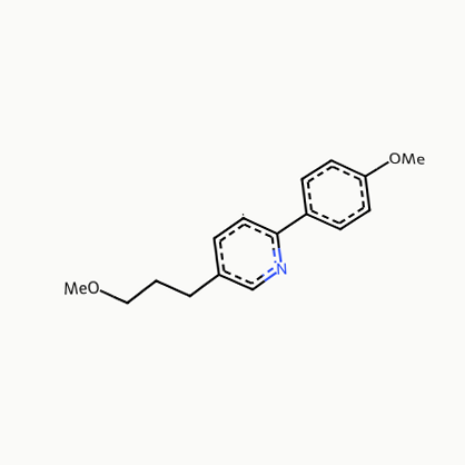 COCCCc1c[c]c(-c2ccc(OC)cc2)nc1